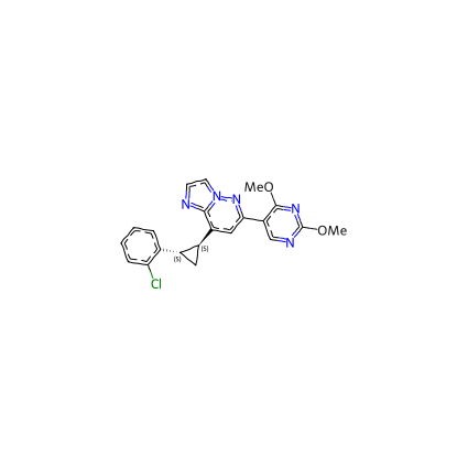 COc1ncc(-c2cc([C@H]3C[C@@H]3c3ccccc3Cl)c3nccn3n2)c(OC)n1